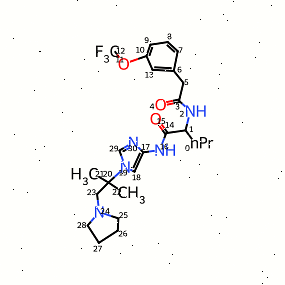 CCCC(NC(=O)Cc1cccc(OC(F)(F)F)c1)C(=O)Nc1cn(C(C)(C)CN2CCCC2)cn1